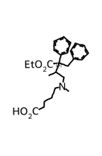 CCOC(=O)[C@](Cc1ccccc1)(c1ccccc1)C(C)CN(C)CCCCC(=O)O